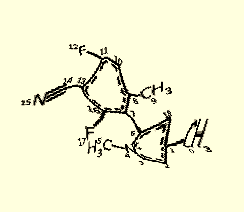 Cc1cc[n+](C)c(-c2c(C)cc(F)c(C#N)c2F)c1